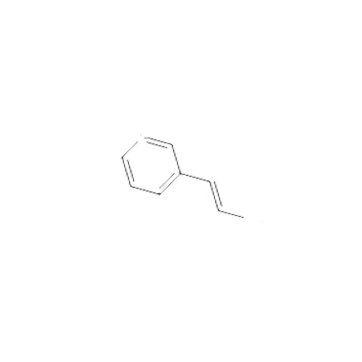 CC(C)(C)/C=C/c1cccnc1